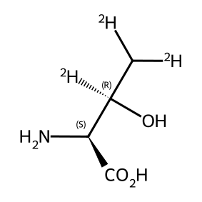 [2H]C([2H])[C@@]([2H])(O)[C@H](N)C(=O)O